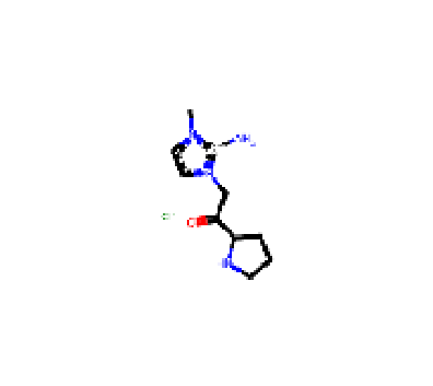 Cn1ccn(CC(=O)C2CCCN2)[c+]1N.[Cl-]